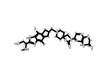 CNC(CO)c1nc2c(F)c3c(c(F)c2[nH]1)CC(CN1CCC2(CC1)CN(c1cnc4c(n1)NC(=O)CO4)C(=O)O2)C3